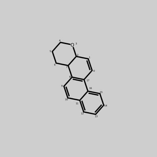 C1=CC2OCCCC2c2ccc3ccccc3c21